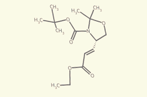 CCOC(=O)C=C[C@H]1COC(C)(C)N1C(=O)OC(C)(C)C